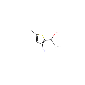 COC(O)c1sc(C)cc1N